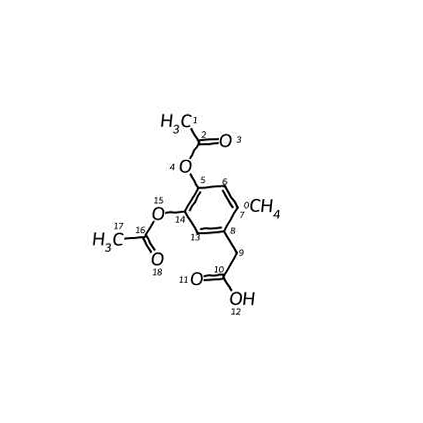 C.CC(=O)Oc1ccc(CC(=O)O)cc1OC(C)=O